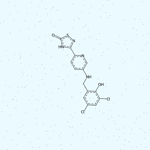 O=c1[nH]c(-c2ccc(NCc3cc(Cl)cc(Cl)c3O)cn2)ns1